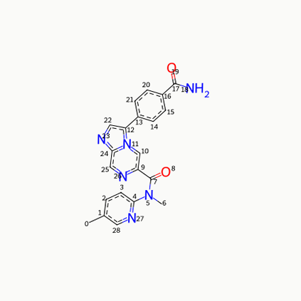 Cc1ccc(N(C)C(=O)c2cn3c(-c4ccc(C(N)=O)cc4)cnc3cn2)nc1